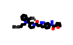 COCCCn1c(C2CCCN(C(=O)C[C@H](N)Cc3ccc(NC(=O)c4ccco4)cc3)C2)c(C)c2ccccc21